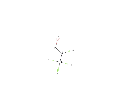 FC(CBr)C(F)(F)F